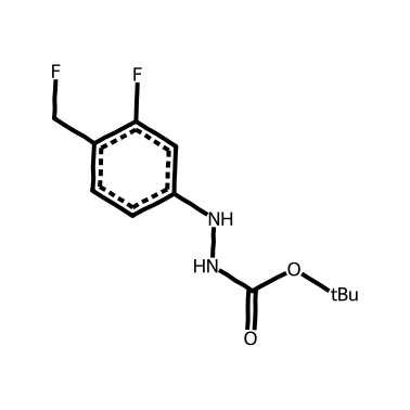 CC(C)(C)OC(=O)NNc1ccc(CF)c(F)c1